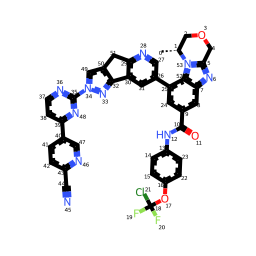 C[C@@H]1COCc2nc3cc(C(=O)Nc4ccc(OC(F)(F)Cl)cc4)cc(-c4cnc5c(c4)-c4nn(-c6nccc(-c7ccc(C#N)nc7)n6)cc4C5)c3n21